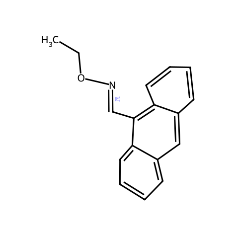 CCO/N=C/c1c2ccccc2cc2ccccc12